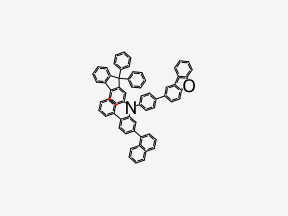 c1ccc(-c2ccc(-c3cccc4ccccc34)cc2N(c2ccc(-c3ccc4oc5ccccc5c4c3)cc2)c2ccc3c(c2)C(c2ccccc2)(c2ccccc2)c2ccccc2-3)cc1